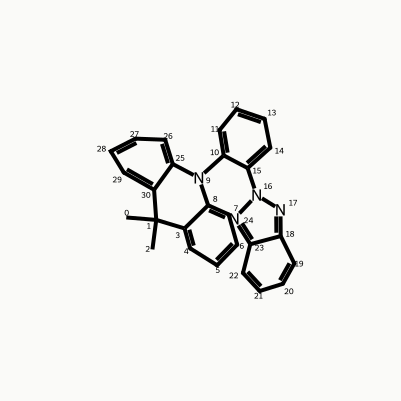 CC1(C)c2ccccc2N(c2ccccc2-n2nc3ccccc3n2)c2ccccc21